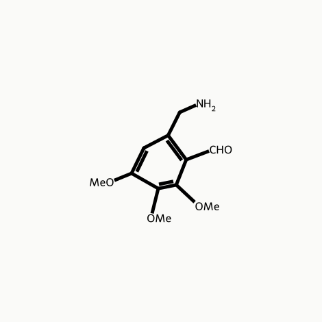 COc1cc(CN)c(C=O)c(OC)c1OC